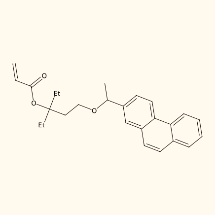 C=CC(=O)OC(CC)(CC)CCOC(C)c1ccc2c(ccc3ccccc32)c1